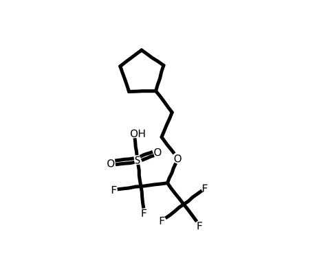 O=S(=O)(O)C(F)(F)C(OCCC1CCCC1)C(F)(F)F